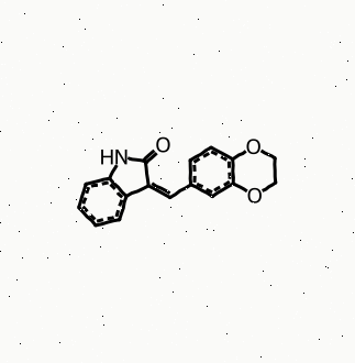 O=C1Nc2ccccc2C1=Cc1ccc2c(c1)OCCO2